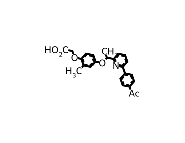 CC(=O)c1ccc(-c2cccc(C(C)Oc3ccc(OCC(=O)O)c(C)c3)n2)cc1